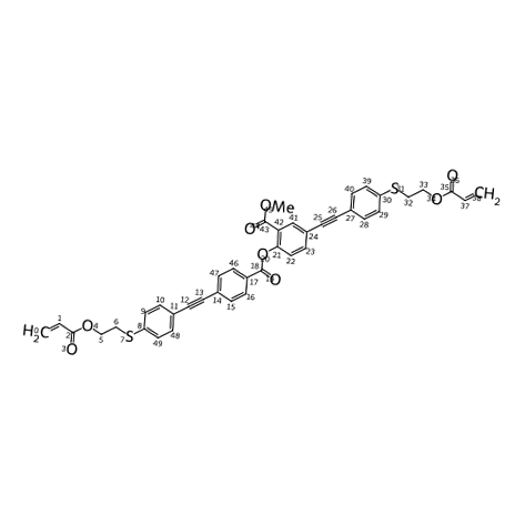 C=CC(=O)OCCSc1ccc(C#Cc2ccc(C(=O)Oc3ccc(C#Cc4ccc(SCCOC(=O)C=C)cc4)cc3C(=O)OC)cc2)cc1